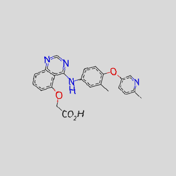 Cc1ccc(Oc2ccc(Nc3ncnc4cccc(OCC(=O)O)c34)cc2C)cn1